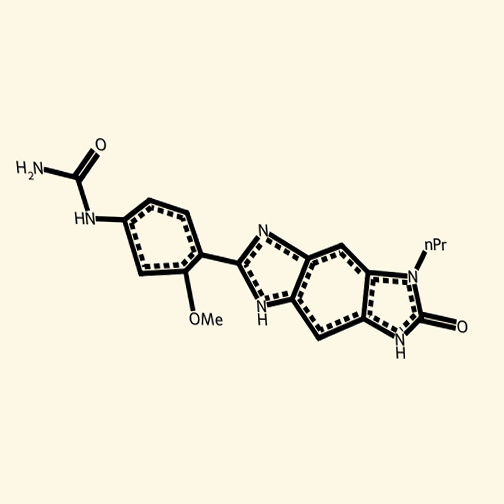 CCCn1c(=O)[nH]c2cc3[nH]c(-c4ccc(NC(N)=O)cc4OC)nc3cc21